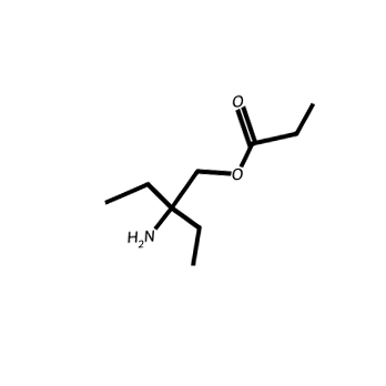 CCC(=O)OCC(N)(CC)CC